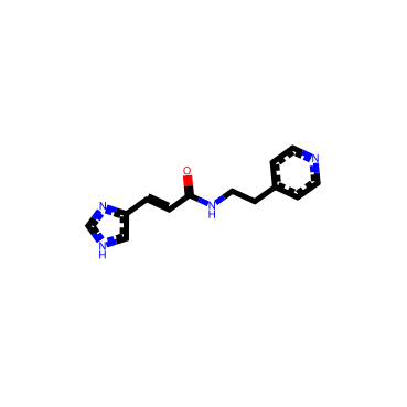 O=C(C=Cc1c[nH]cn1)NCCc1ccncc1